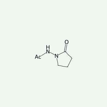 CC(=O)NN1CCCC1=O